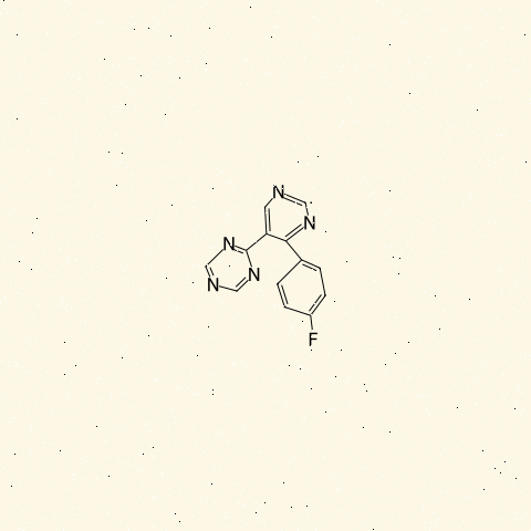 Fc1ccc(-c2n[c]ncc2-c2ncncn2)cc1